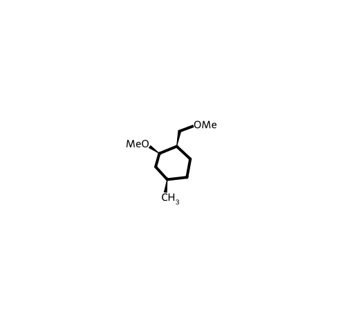 COC[C@H]1CC[C@@H](C)C[C@H]1OC